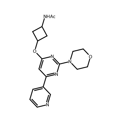 CC(=O)NC1CC(Oc2cc(-c3cccnc3)nc(N3CCOCC3)n2)C1